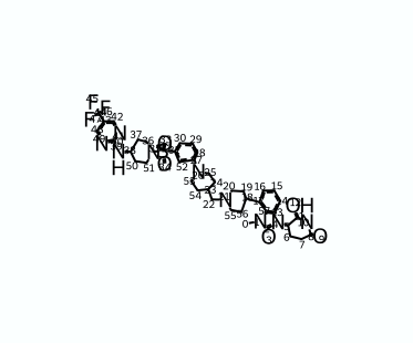 Cn1c(=O)n(C2CCC(=O)NC2=O)c2cccc(C3CCN(CC4CCN(c5cccc(S(=O)(=O)N6CCC(Nc7ncc(C(F)(F)F)cn7)CC6)c5)CC4)CC3)c21